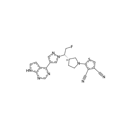 N#Cc1csc(N2CC[C@H](C(CF)n3cc(-c4ncnc5[nH]ccc45)cn3)C2)c1C#N